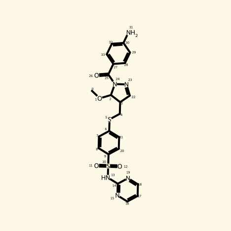 COC1C(CSc2ccc(S(=O)(=O)Nc3ncccn3)cc2)C=NN1C(=O)c1ccc(N)cc1